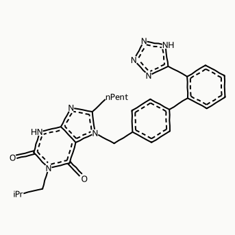 CCCCCc1nc2[nH]c(=O)n(CC(C)C)c(=O)c2n1Cc1ccc(-c2ccccc2-c2nnn[nH]2)cc1